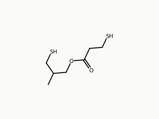 CC(CS)COC(=O)CCS